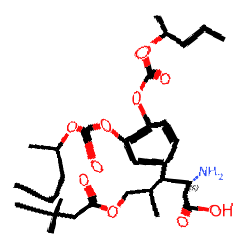 CCCC(C)OC(=O)Oc1ccc(C(C(C)COC(=O)CC(C)(C)C)[C@H](N)C(=O)O)cc1OC(=O)OC(C)CCC